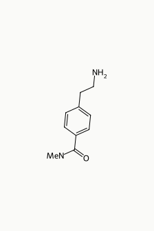 CNC(=O)c1ccc(CCN)cc1